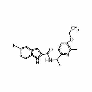 Cc1nc(C(C)NC(=O)c2cc3cc(F)ccc3[nH]2)ccc1OCC(F)(F)F